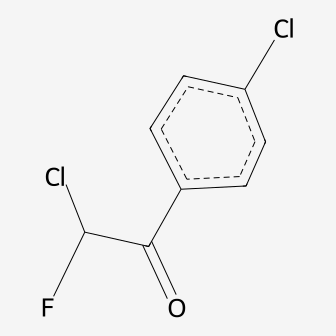 O=C(c1ccc(Cl)cc1)C(F)Cl